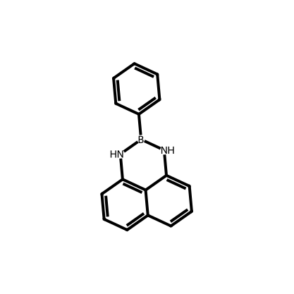 c1ccc(B2Nc3cccc4cccc(c34)N2)cc1